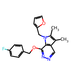 Cc1c(C)n(Cc2ccco2)c2c(OCc3ccc(F)cc3)nncc12